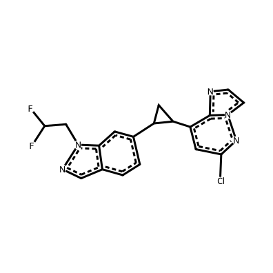 FC(F)Cn1ncc2ccc(C3CC3c3cc(Cl)nn4ccnc34)cc21